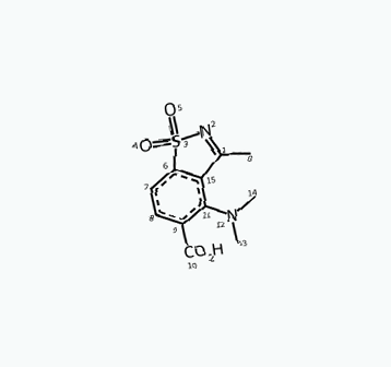 CC1=NS(=O)(=O)c2ccc(C(=O)O)c(N(C)C)c21